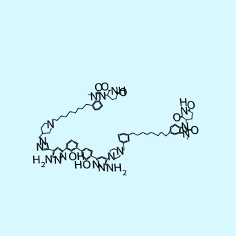 Cn1c(=O)n(C2CCC(=O)NC2=O)c2ccc(CCCCCCCCc3cccc(CN4CCN(c5cc(-c6ccc(-c7cccc(-c8cc(-c9cnn(CC%10CCN(CCCCCCCCCc%11cccc%12c%11n(C)c(=O)n%12C%11CCC(=O)NC%11=O)CC%10)c9)c(N)nn8)c7O)cc6O)nnc5N)CC4)c3)cc21